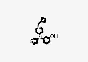 Oc1cccc(N(c2ccsc2)C2CCN(CC3CCC3)CC2)c1